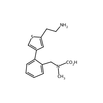 CN(Cc1ccccc1-c1csc(CCN)c1)C(=O)O